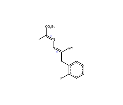 CCC/C(Cc1ccccc1F)=N\N=C(/C)C(=O)OCC